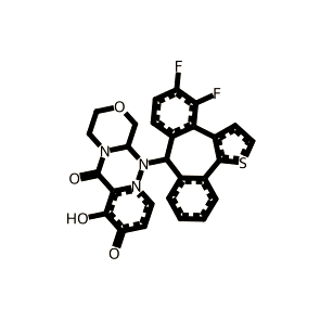 O=C1c2c(O)c(=O)ccn2N(C2c3ccccc3-c3sccc3-c3c2ccc(F)c3F)C2COCCN12